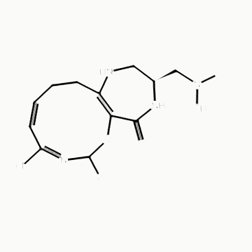 CC1/N=C(Cl)\C=C/CCC2=C(S1)C(=O)N[C@H](CN(C)C)CN2